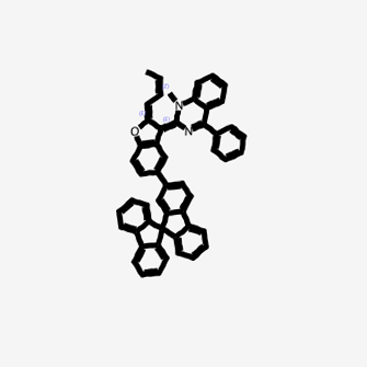 C\C=C/C=c1/oc2ccc(-c3ccc4c(c3)C3(c5ccccc5-c5ccccc53)c3ccccc3-4)cc2/c1=C1\N=C(c2ccccc2)c2ccccc2N1C